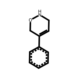 C1=C(c2ccccc2)CONC1